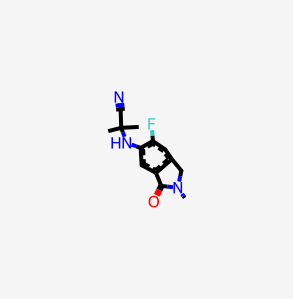 CN1Cc2cc(F)c(NC(C)(C)C#N)cc2C1=O